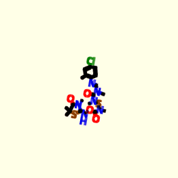 Cc1cc(Cl)ccc1N=CN(C)C(=O)N(C)SN(C)C(=O)ONC1SC(C)(C)C(=O)N1C